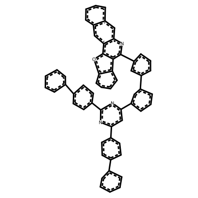 c1ccc(-c2ccc(-c3cc(-c4cccc(-c5cccc(-c6nc7cc8ccccc8cc7c7oc8ccccc8c67)c5)c4)nc(-c4ccc(-c5ccccc5)cc4)n3)cc2)cc1